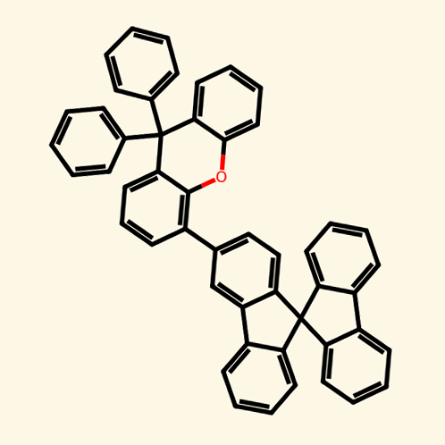 c1ccc(C2(c3ccccc3)c3ccccc3Oc3c(-c4ccc5c(c4)-c4ccccc4C54c5ccccc5-c5ccccc54)cccc32)cc1